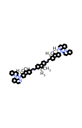 CC1(C)c2cc(/C=C/c3ccc4c(c3)C(C)(C)c3cc(N(c5ccc6ccccc6n5)c5nccc6ccccc56)ccc3-4)ccc2-c2ccc(/C=C/c3ccc4c(c3)C(C)(C)c3cc(N(c5ccc6ccccc6n5)c5nccc6ccccc56)ccc3-4)cc21